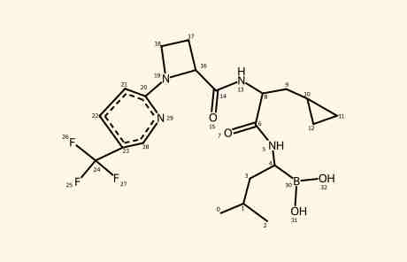 CC(C)CC(NC(=O)C(CC1CC1)NC(=O)C1CCN1c1ccc(C(F)(F)F)cn1)B(O)O